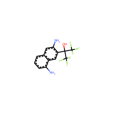 Nc1cc2cccc(N)c2cc1C(O)(C(F)(F)F)C(F)(F)F